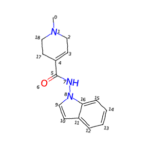 CN1CC=C(C(=O)Nn2ccc3ccccc32)CC1